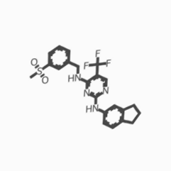 CS(=O)(=O)c1cccc(CNc2nc(Nc3ccc4c(c3)CCC4)ncc2C(F)(F)F)c1